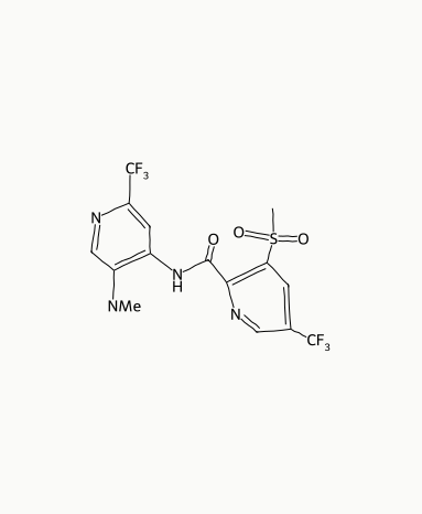 CNc1cnc(C(F)(F)F)cc1NC(=O)c1ncc(C(F)(F)F)cc1S(C)(=O)=O